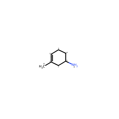 CC1=CCCC(N)C1